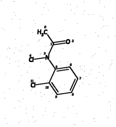 CC(=O)N(Cl)c1ccccc1Cl